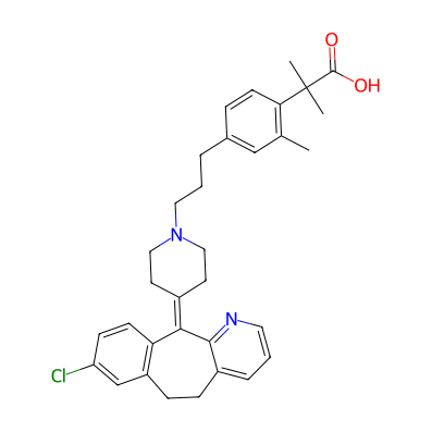 Cc1cc(CCCN2CCC(=C3c4ccc(Cl)cc4CCc4cccnc43)CC2)ccc1C(C)(C)C(=O)O